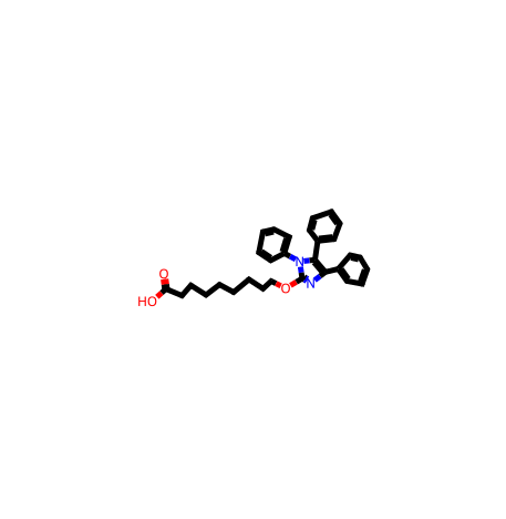 O=C(O)CCCCCCCCOc1nc(-c2ccccc2)c(-c2ccccc2)n1-c1ccccc1